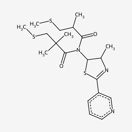 CSCC(C)C(=O)N(C(=O)C(C)(C)CSC)C1SC(c2cccnc2)=NC1C